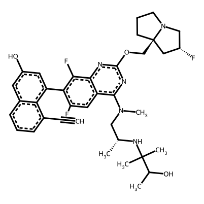 C#Cc1cccc2cc(O)cc(-c3c(F)cc4c(N(C)C[C@@H](C)NC(C)(C)C(C)O)nc(OC[C@@]56CCCN5C[C@H](F)C6)nc4c3F)c12